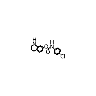 O=C(Nc1ccc(Cl)cc1)Oc1ccc2c(c1)NCCC2